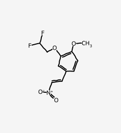 COc1ccc(C=C[N+](=O)[O-])cc1OCC(F)F